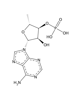 C[C@H]1O[C@@H](n2cnc3c(N)ncnc32)[C@H](O)[C@@H]1OP(=O)(O)O